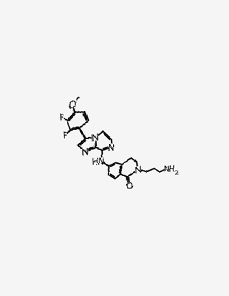 COc1ccc(-c2cnc3c(Nc4ccc5c(c4)CCN(CCCN)C5=O)nccn23)c(F)c1F